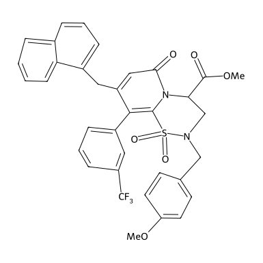 COC(=O)C1CN(Cc2ccc(OC)cc2)S(=O)(=O)c2c(-c3cccc(C(F)(F)F)c3)c(Cc3cccc4ccccc34)cc(=O)n21